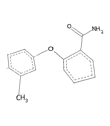 Cc1[c]ccc(Oc2ccccc2C(N)=O)c1